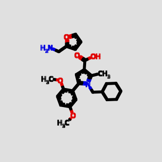 COc1ccc(OC)c(-c2cc(C(=O)O)c(C)n2CC2CCCCC2)c1.NCc1ccco1